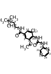 COc1cc(C(=O)NCC[N+](C)(C)C)ccc1NC(=O)Nc1cnccn1.[Cl-]